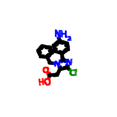 Nc1ccc(-c2nc(Cl)c(CC(=O)O)n2Cc2ccccc2)cc1